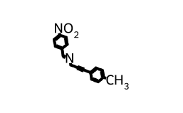 Cc1ccc(C#CCN=Cc2ccc([N+](=O)[O-])cc2)cc1